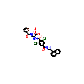 O=C(NCCc1cccc2ccccc12)c1cc(Cl)c(C(=O)N[C@@H](CNC(=O)c2cccs2)C(=O)O)c(Cl)c1